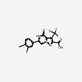 Cc1ccc(-c2cn3nc(C(=O)O)c(C(F)(F)F)c3c(=O)[nH]2)cc1F